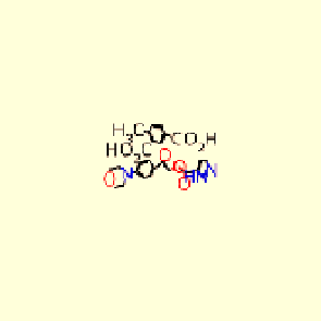 Cc1ccc(C(=O)O)cc1C(=O)O.O=C(COC(=O)c1ccn[nH]1)c1ccc(N2CCOCC2)cc1